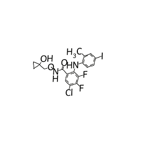 Cc1cc(I)ccc1Nc1c(C(=O)NOCC2(O)CC2)cc(Cl)c(F)c1F